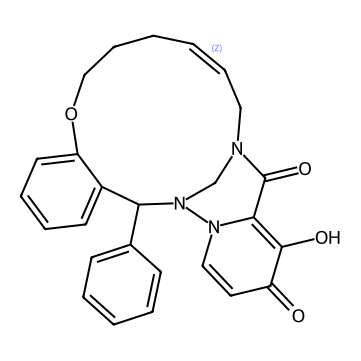 O=C1c2c(O)c(=O)ccn2N2CN1C/C=C\CCCOc1ccccc1C2c1ccccc1